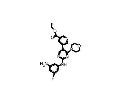 CCOC(=O)c1cncc(-c2cnc(Nc3cc(N)cc(F)c3)nc2N2CCOCC2)c1